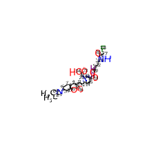 CCN(CC)c1ccc2cc(/C=C/c3ccc([PH](=O)OCCCCNC(=O)CF)c[n+]3CC(=O)O)c(=O)oc2c1